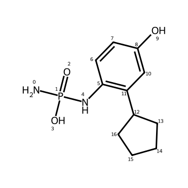 NP(=O)(O)Nc1ccc(O)cc1C1CCCC1